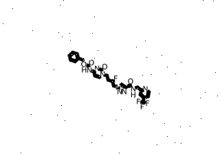 O=C(Nc1ccn(CCC(F)Cn2cc(C(=O)NCc3cc(C(F)(F)F)ccn3)nn2)c(=O)n1)OCc1ccccc1